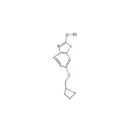 CCOc1nc2ccc(OCC3CCC3)cc2s1